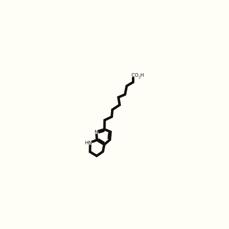 O=C(O)CCCCCCCCc1ccc2c(n1)NCCC2